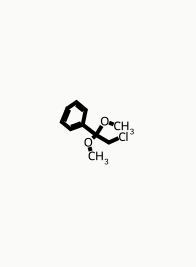 COC(CCl)(OC)c1ccccc1